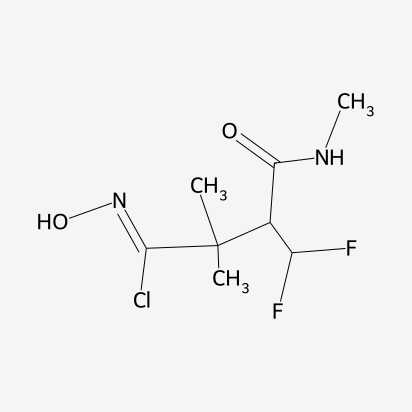 CNC(=O)C(C(F)F)C(C)(C)C(Cl)=NO